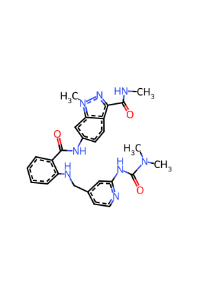 CNC(=O)c1nn(C)c2cc(NC(=O)c3ccccc3NCc3ccnc(NC(=O)N(C)C)c3)ccc12